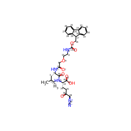 CC(C)C[C@H](NC(=O)COCCNC(=O)OCC1c2ccccc2-c2ccccc21)C(=O)N[C@@H](CCC(=O)C=[N+]=[N-])C(=O)O